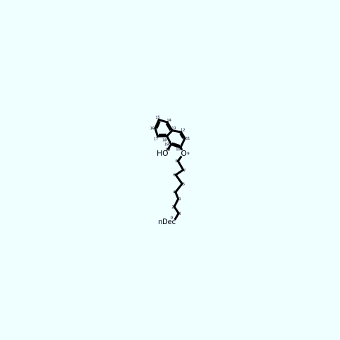 CCCCCCCCCCCCCCCCCCOc1ccc2ccccc2c1O